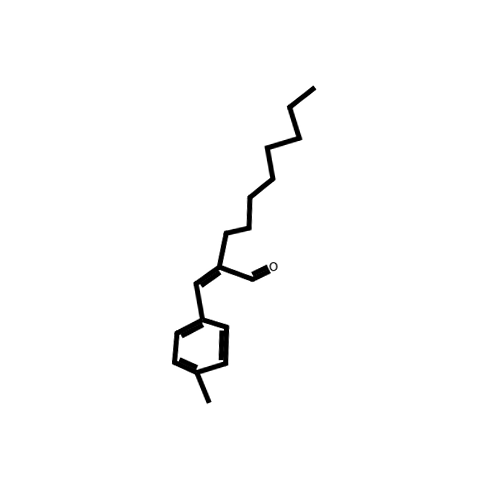 CCCCCCCCC(C=O)=Cc1ccc(C)cc1